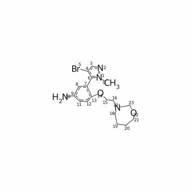 Cn1ncc(Br)c1-c1cc(N)ccc1OCCN1CCCCOC1